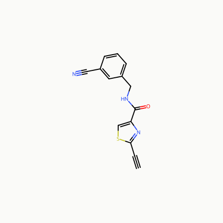 C#Cc1nc(C(=O)NCc2cccc(C#N)c2)cs1